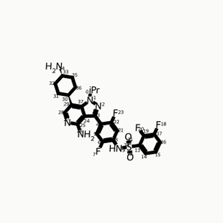 CC(C)n1nc(-c2cc(F)c(NS(=O)(=O)c3cccc(F)c3F)cc2F)c2c(N)ncc([C@H]3CC[C@H](N)CC3)c21